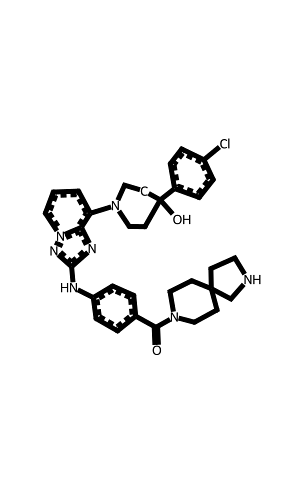 O=C(c1ccc(Nc2nc3c(N4CCC(O)(c5ccc(Cl)cc5)CC4)cccn3n2)cc1)N1CCC2(CCNC2)CC1